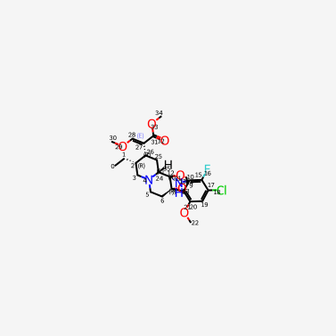 CC[C@H]1CN2CC[C@]34OCCO[C@]3(Nc3c(F)c(Cl)cc(OC)c34)[C@H]2C[C@H]1/C(=C\OC)C(=O)OC